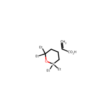 C=CC(=O)O.CCC1(CC)CCC[Si](CC)(CC)O1